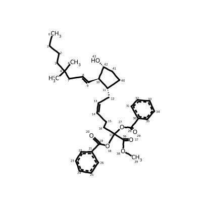 CCCCC(C)(C)C/C=C/[C@@H]1[C@@H](C/C=C\CCC(OC(=O)c2ccccc2)(OC(=O)c2ccccc2)C(=O)OC)CC[C@H]1O